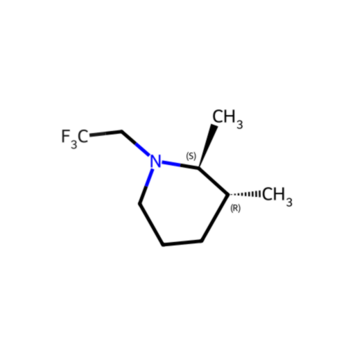 C[C@@H]1CCCN(CC(F)(F)F)[C@H]1C